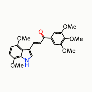 COc1cc(C(=O)C=Cc2c[nH]c3c(OC)ccc(OC)c23)cc(OC)c1OC